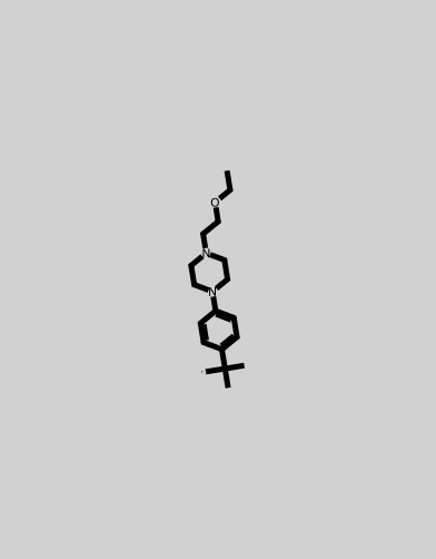 [CH2]C(C)(C)c1ccc(N2CCN(CCOCC)CC2)cc1